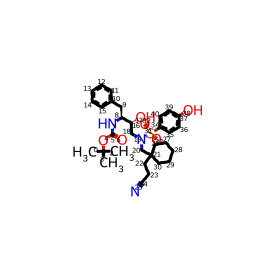 CC(C)(C)OC(=O)N[C@@H](Cc1ccccc1)[C@H](O)CN(CC1(CCC#N)CCCCC1)S(=O)(=O)c1ccc(O)cc1